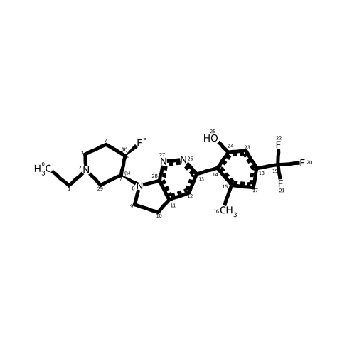 CCN1CC[C@@H](F)[C@@H](N2CCc3cc(-c4c(C)cc(C(F)(F)F)cc4O)nnc32)C1